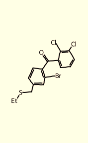 CCSCc1ccc(C(=O)c2cccc(Cl)c2Cl)c(Br)c1